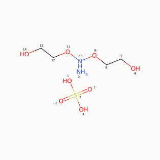 N.O=S(=O)(O)O.OCCONOCCO